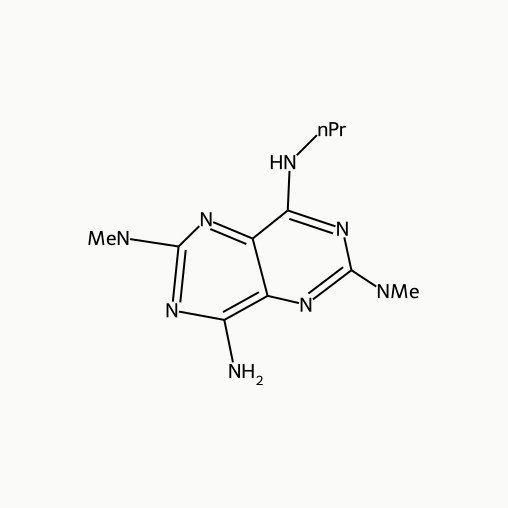 CCCNc1nc(NC)nc2c(N)nc(NC)nc12